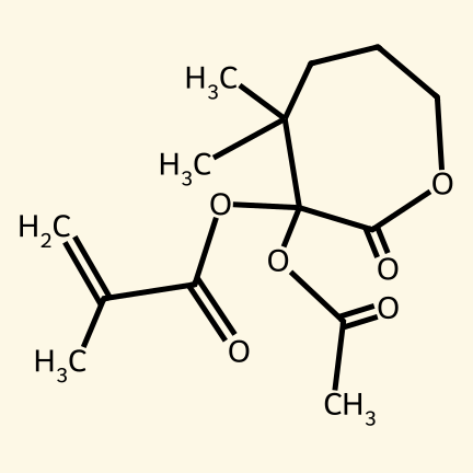 C=C(C)C(=O)OC1(OC(C)=O)C(=O)OCCCC1(C)C